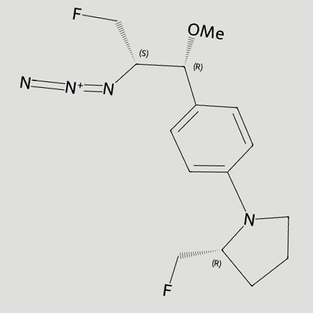 CO[C@H](c1ccc(N2CCC[C@@H]2CF)cc1)[C@@H](CF)N=[N+]=[N-]